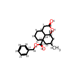 CC1C[C@@H]2OC(=O)CC3CCCC(C(=O)OCc4ccccc4)(C1)C32